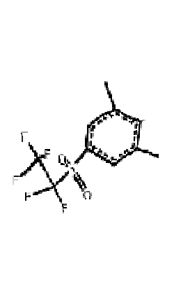 Cc1[c]c(C)cc(S(=O)(=O)C(F)(F)C(F)(F)F)c1